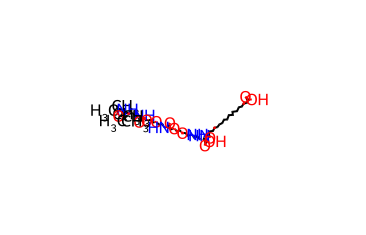 CC(C)(C)N[C@@H](CCCCNC(=O)COCCOCCNC(=O)COCCOCCNCCC[C@H](NC(=O)CCCCCCCCCCCCCCCCC(=O)O)C(=O)O)C(=O)C(C)(C)C